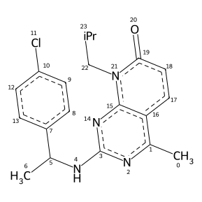 Cc1nc(NC(C)c2ccc(Cl)cc2)nc2c1ccc(=O)n2CC(C)C